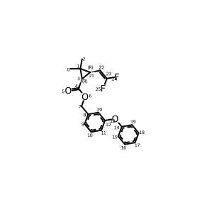 CC1(C)[C@H](C(=O)OCc2cccc(Oc3ccccc3)c2)[C@@H]1C=C(F)F